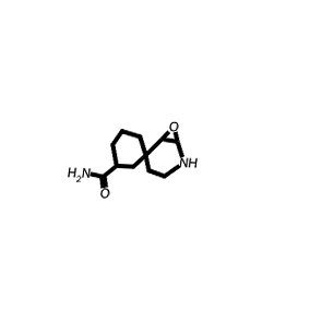 NC(=O)C1CCCC2(CCNC3OC32)C1